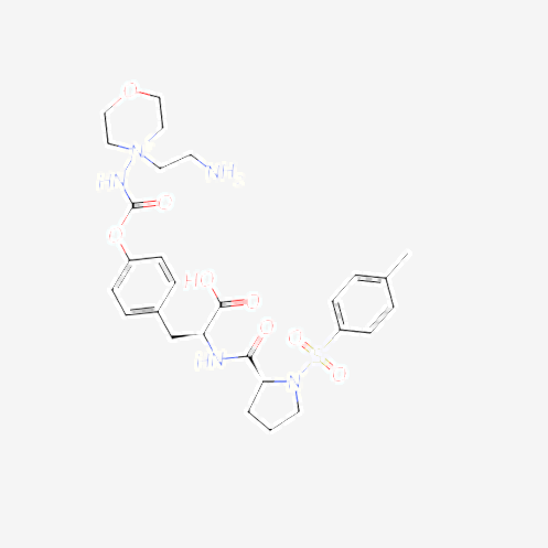 Cc1ccc(S(=O)(=O)N2CCC[C@H]2C(=O)N[C@@H](Cc2ccc(OC(=O)N[N+]3(CCN)CCOCC3)cc2)C(=O)O)cc1